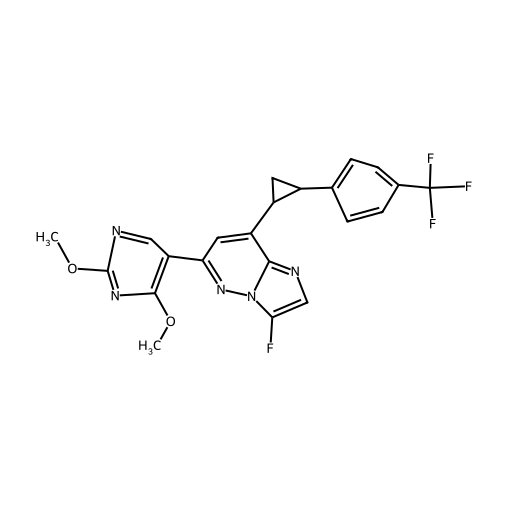 COc1ncc(-c2cc(C3CC3c3ccc(C(F)(F)F)cc3)c3ncc(F)n3n2)c(OC)n1